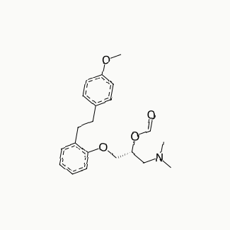 COc1ccc(CCc2ccccc2OC[C@@H](CN(C)C)OC=O)cc1